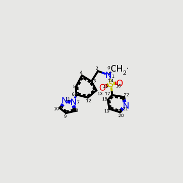 [CH2]N(Cc1ccc(-n2cccn2)cc1)S(=O)(=O)c1cccnc1